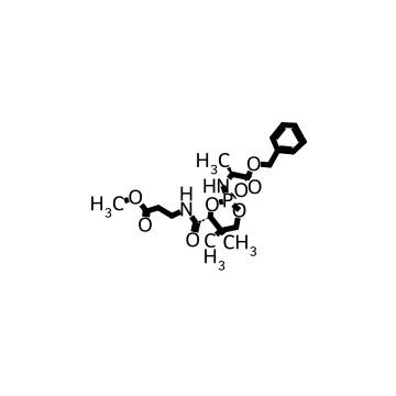 COC(=O)CCNC(=O)[C@@H]1OP(=O)(N[C@@H](C)C(=O)OCc2ccccc2)OCC1(C)C